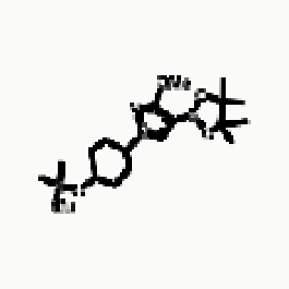 COc1nn(C2CCC(O[Si](C)(C)C(C)(C)C)CC2)cc1B1OC(C)(C)C(C)(C)O1